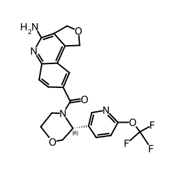 Nc1nc2ccc(C(=O)N3CCOC[C@H]3c3ccc(OC(F)(F)F)nc3)cc2c2c1COC2